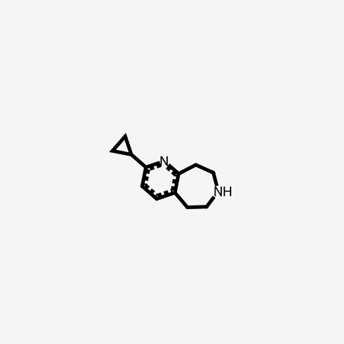 c1cc2c(nc1C1CC1)CCNCC2